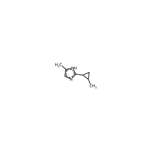 Cc1cnc(C2CC2C)[nH]1